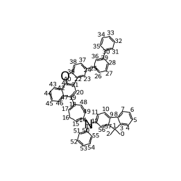 CC1(C)c2ccccc2-c2ccc(N(C3=CCC=C(c4cc5c6cc(-c7cccc(-c8ccccc8)c7)ccc6oc5c5ccccc45)C=C3)c3ccccc3)cc21